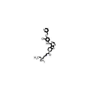 CCN(C)CC/C=C/C(=O)N1CCc2c(sc3ncnc(Nc4ccc(OCc5cccnc5)c(Cl)c4)c23)C1